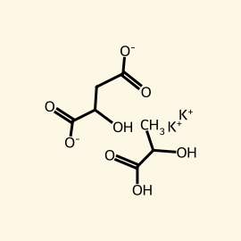 CC(O)C(=O)O.O=C([O-])CC(O)C(=O)[O-].[K+].[K+]